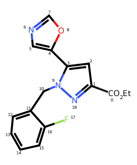 CCOC(=O)c1cc(-c2cnco2)n(Cc2ccccc2F)n1